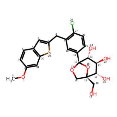 COc1ccc2cc(Cc3cc([C@]45OC[C@](CO)(O4)[C@@H](O)[C@H](O)[C@H]5O)ccc3Cl)sc2c1